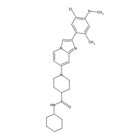 COc1cc(C)c(-c2cn3ccc(N4CCC(C(=O)NC5CCCCC5)CC4)cc3n2)cc1Cl